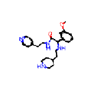 COc1cccc(C(NCCC2CCNCC2)C(=O)NCCc2ccncc2)c1